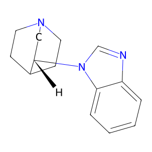 c1ccc2c(c1)ncn2[C@H]1CN2CCC1CC2